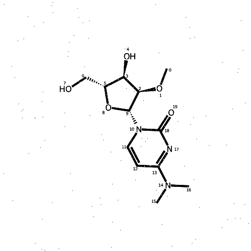 CO[C@@H]1[C@H](O)[C@@H](CO)O[C@H]1n1ccc(N(C)C)nc1=O